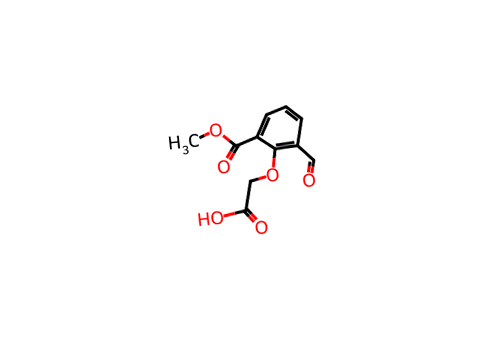 COC(=O)c1cccc(C=O)c1OCC(=O)O